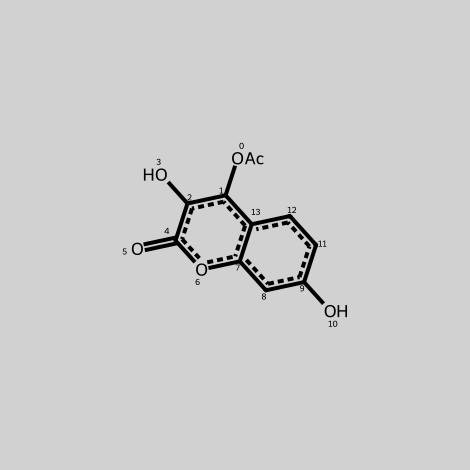 CC(=O)Oc1c(O)c(=O)oc2cc(O)ccc12